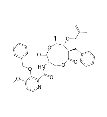 C=C(C)CO[C@H]1[C@H](C)OC(=O)[C@@H](NC(=O)c2nccc(OC)c2OCc2ccccc2)COC(=O)[C@@H]1Cc1ccccc1